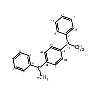 CP(c1ccccc1)c1ccc(P(C)c2ccccc2)cc1